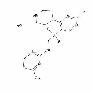 Cc1ncc(C(F)(F)CNc2nccc(C(F)(F)F)n2)c(C2CCNCC2)n1.Cl